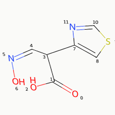 O=C(O)C(/C=N\O)c1cscn1